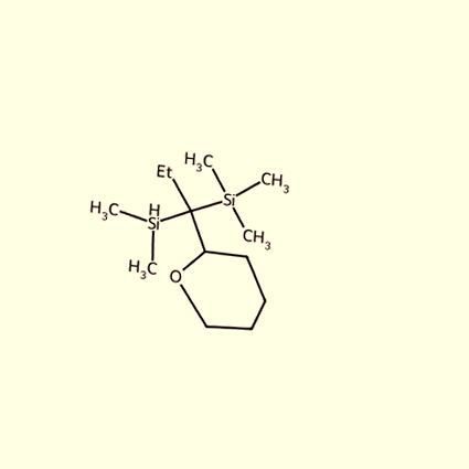 [CH2]CC(C1CCCCO1)([SiH](C)C)[Si](C)(C)C